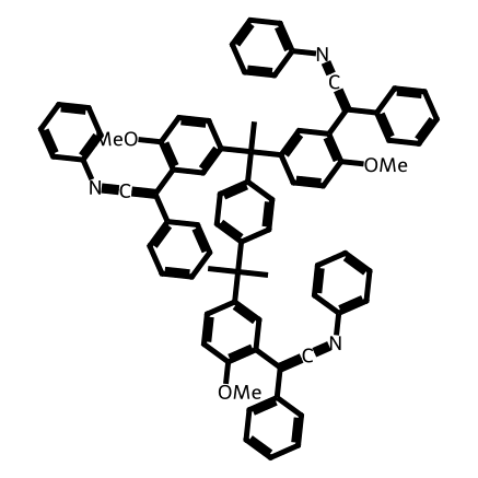 COc1ccc(C(C)(C)c2ccc(C(C)(c3ccc(OC)c(C(=C=Nc4ccccc4)c4ccccc4)c3)c3ccc(OC)c(C(=C=Nc4ccccc4)c4ccccc4)c3)cc2)cc1C(=C=Nc1ccccc1)c1ccccc1